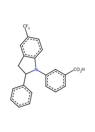 O=C(O)c1cccc(N2c3ccc(C(F)(F)F)cc3CC2c2ccccc2)c1